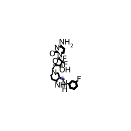 N=C1CCN(C[C@H]2O[C@@H](n3ccc(N)nc3=O)C(F)(F)[C@@H]2O)C/C1=C/Nc1cccc(F)c1